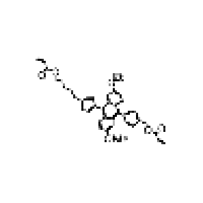 C=CC(=O)OCCCCCc1ccc(-c2c3ccc(OC)cc3c(-c3ccc(COC(=O)C=C)cc3)c3ccc(OCC)cc23)cc1